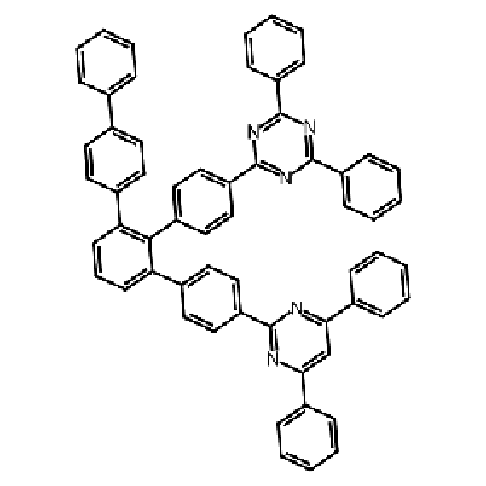 c1ccc(-c2ccc(-c3cccc(-c4ccc(-c5nc(-c6ccccc6)cc(-c6ccccc6)n5)cc4)c3-c3ccc(-c4nc(-c5ccccc5)nc(-c5ccccc5)n4)cc3)cc2)cc1